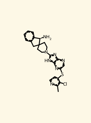 Cc1nccc(Sc2cnc3nc(N4CCC5(CC4)Cc4ccccc4[C@H]5N)[nH]c3n2)c1Cl